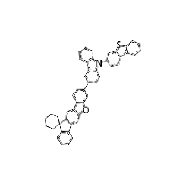 c1ccc2c(c1)-c1cc3oc4cc(-c5ccc6c(c5)c5ccccc5n6-c5ccc6c(c5)sc5ccccc56)ccc4c3cc1C21CCCCC1